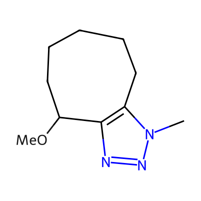 COC1CCCCCc2c1nnn2C